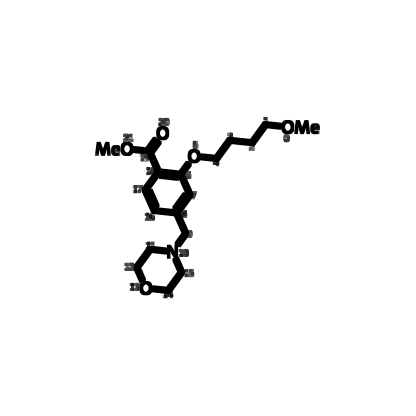 COCCCCOc1cc(CN2CCOCC2)ccc1C(=O)OC